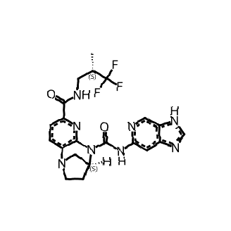 C[C@@H](CNC(=O)c1ccc2c(n1)N(C(=O)Nc1cc3nc[nH]c3cn1)[C@H]1CCN2C1)C(F)(F)F